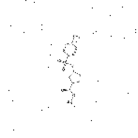 Cc1ccc(S(=O)(=O)OC2CCC(C(=O)OC(C)(C)C)C2)cc1